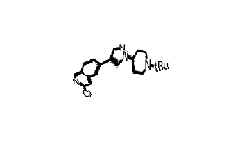 CC(C)(C)N1CCC(n2cc(-c3ccc4cnc(Cl)cc4c3)cn2)CC1